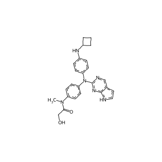 CN(C(=O)CO)c1ccc(N(c2ccc(NC3CCC3)cc2)c2ncc3cc[nH]c3n2)cc1